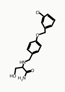 NC(=O)C(CO)NCc1ccc(OCc2cccc(Cl)c2)cc1